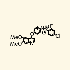 COc1cc2nccc(Oc3ccc(NS(=O)(=O)c4ccc(Cl)cc4F)cc3)c2cc1OC